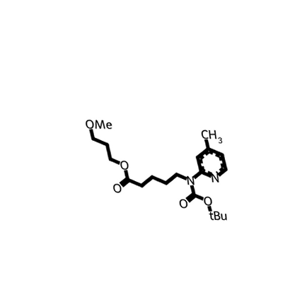 COCCCOC(=O)CCCCN(C(=O)OC(C)(C)C)c1cc(C)ccn1